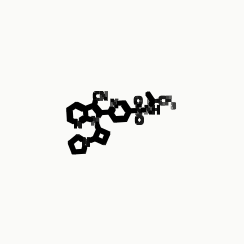 C[C@H](NS(=O)(=O)c1ccc(-c2c(C#N)c3cccnc3n2C2CCC2N2CCCC2)nc1)C(F)(F)F